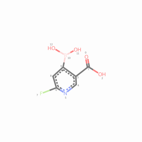 O=C(O)c1cnc(F)cc1B(O)O